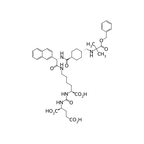 CC(C)(NC[C@H]1CC[C@H](C(=O)N[C@H](C(=O)NCCCC[C@H](NC(=O)N[C@@H](CCC(=O)O)C(=O)O)C(=O)O)c2ccc3ccccc3c2)CC1)C(=O)OCc1ccccc1